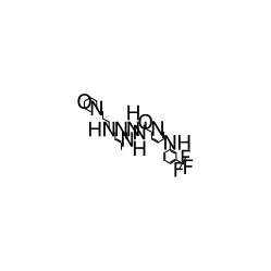 Cc1cc(NCCCN2CCOCC2)nc(NNC(=O)c2ccc(Nc3cccc(C(F)(F)F)c3)cn2)n1